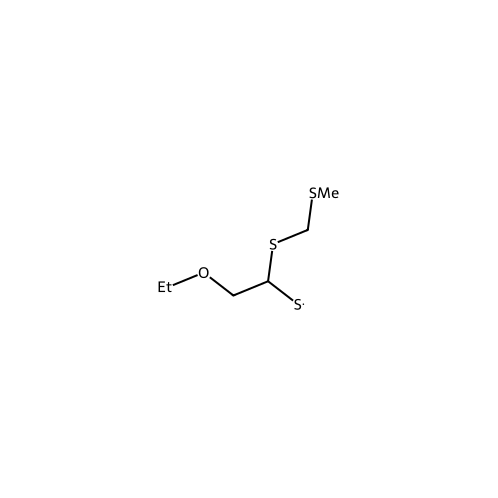 CCOCC([S])SCSC